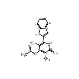 CC(=O)Oc1c(C)c(-c2cc3ccccc3o2)oc(=O)c1C